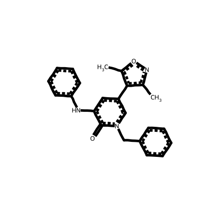 Cc1noc(C)c1-c1cc(Nc2ccccc2)c(=O)n(Cc2ccccc2)c1